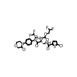 O=C(N[C@H](CNC(=O)c1ccc(Cl)s1)C(=O)N(OC(F)F)c1ccc(N2CCOCC2=O)cc1)OCC(F)F